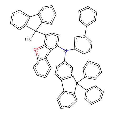 CC1(c2ccc(N(c3cccc(-c4ccccc4)c3)c3ccc4c(c3)C(c3ccccc3)(c3ccccc3)c3ccccc3-4)c3c2oc2ccccc23)c2ccccc2-c2ccccc21